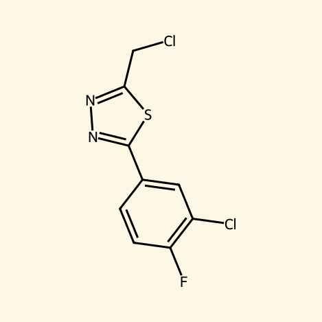 Fc1ccc(-c2nnc(CCl)s2)cc1Cl